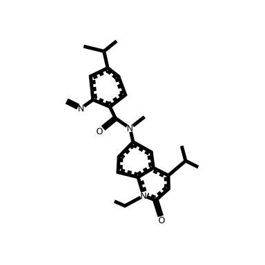 C=Nc1cc(C(C)C)ccc1C(=O)N(C)c1ccc2c(c1)c(C(C)C)cc(=O)n2CC